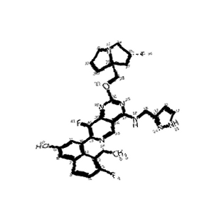 CCc1c(F)ccc2cc(O)cc(-c3ncc4c(NCc5cc[nH]n5)nc(OC[C@@]56CCCN5C[C@H](F)C6)nc4c3F)c12